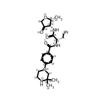 CC(C)C[C@H](NC(=O)c1ccc(N2CCNC(C)(C)C2)cc1)C(=O)N[C@@H]1C(=O)CO[C@@H]1C